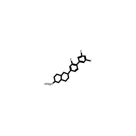 CCCCCCCC1CCC2CC(c3ccc(-c4cc(F)cc(F)c4)c(F)c3)CCC2C1